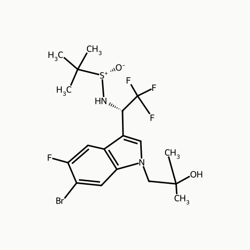 CC(C)(O)Cn1cc([C@H](N[S@@+]([O-])C(C)(C)C)C(F)(F)F)c2cc(F)c(Br)cc21